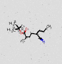 CCCC(C#N)CCC(C)C(=O)OC(C)(C)C